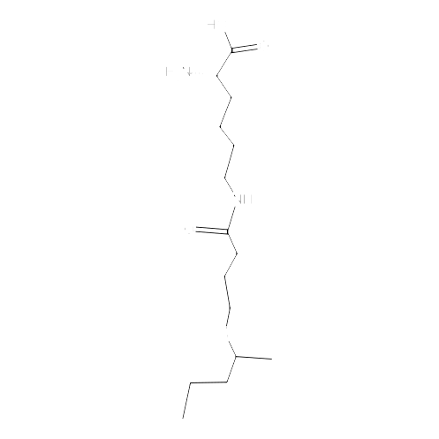 CCCC(C)SCCCC(=O)NCCCC[C@H](N)C(=O)O